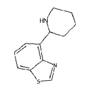 c1cc(C2CCCCN2)c2ncsc2c1